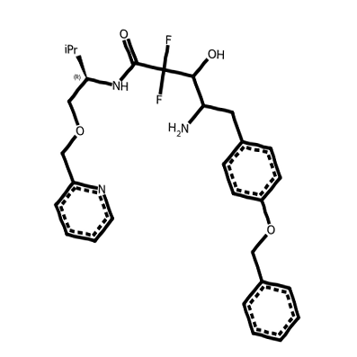 CC(C)[C@H](COCc1ccccn1)NC(=O)C(F)(F)C(O)C(N)Cc1ccc(OCc2ccccc2)cc1